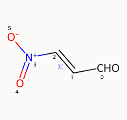 O=C/C=C/[N+](=O)[O-]